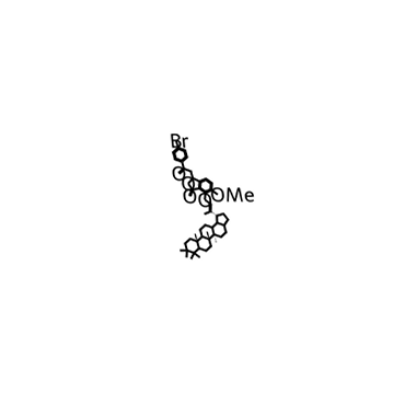 COc1ccc2c(c1O/C=C(\C)[C@@H]1CCC3CC[C@]4(C)C(CCC5[C@@]6(C)CCC(C)(C)C(C)(C)C6CC[C@]54C)C31)C(=O)OC2CC(=O)c1ccc(Br)cc1